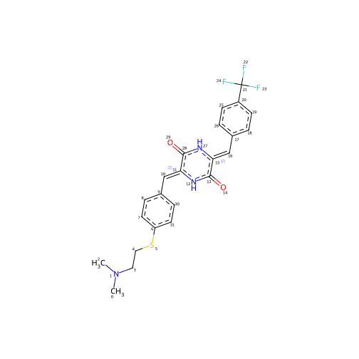 CN(C)CCSc1ccc(/C=c2\[nH]c(=O)/c(=C/c3ccc(C(F)(F)F)cc3)[nH]c2=O)cc1